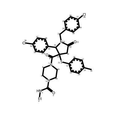 CCNC(=O)N1CCN(C(=O)C2(Sc3ccc(C)cc3)CC(=O)N(Cc3ccc(Cl)cc3)C2c2ccc(Cl)cc2)CC1